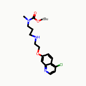 CN(CCCNCCOc1ccc2c(Cl)ccnc2c1)C(=O)OC(C)(C)C